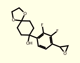 OC1(c2ccc(C3CO3)c(F)c2F)CCC2(CC1)OCCO2